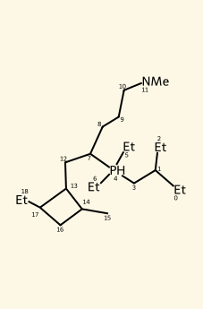 CCC(CC)C[PH](CC)(CC)C(CCCNC)CC1C(C)CC1CC